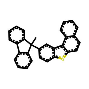 CC1(c2ccc3sc4ccc5ccccc5c4c3c2)c2ccccc2-c2ccccc21